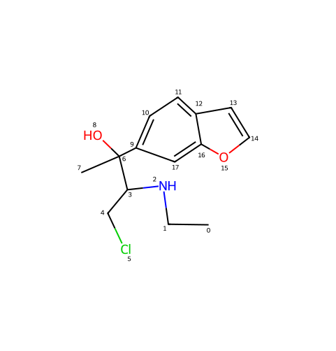 CCNC(CCl)C(C)(O)c1ccc2ccoc2c1